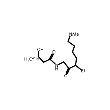 CCC(CCCCNC)C(=O)CNC(=O)C[C@H](C)O